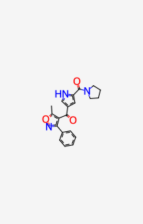 Cc1onc(-c2ccccc2)c1C(=O)c1c[nH]c(C(=O)N2CCCC2)c1